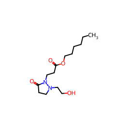 CCCCCCOC(=O)CCN1C(=O)CCN1CCO